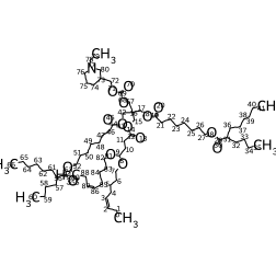 CC/C=C\CCCCOC(CCC(=O)OCC(COC(=O)CCCCCCCOC(=O)C(CCCC)CCCCCC)(COC(=O)CCCCCCCOC(=O)C(CCCC)CCCCCC)COC(=O)OCC1CCCN(CC)C1)OCCCC/C=C\CC